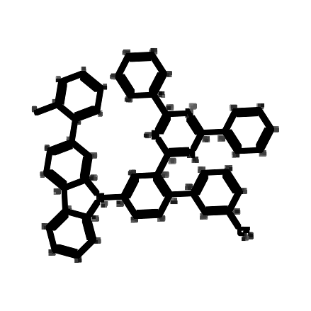 Cc1ccccc1-c1ccc2c3ccccc3n(-c3ccc(-c4cccc(C(F)(F)F)c4)c(-c4nc(-c5ccccc5)nc(-c5ccccc5)n4)c3)c2c1